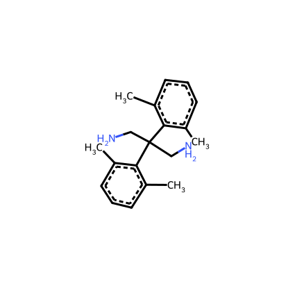 Cc1cccc(C)c1C(CN)(CN)c1c(C)cccc1C